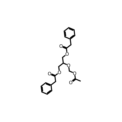 CC(=O)OCOC(COC(=O)Cc1ccccc1)COC(=O)Cc1ccccc1